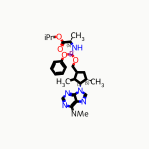 CNc1ncnc2c1ncn2[C@@H]1C(C)C(COP(N[C@@H](C)C(=O)OC(C)C)Oc2ccccc2)C[C@@H]1C